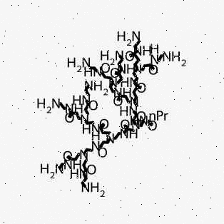 CCCC(=O)NCN(CC(=O)NCCN(CCC(=O)NCCN(CCC(=O)NCN)CCC(=O)NCCN)CCC(=O)NCCN(CCC(=O)NCCN)CCC(=O)NCCN)CC(=O)NCN(CCC(=O)NCCN(CCC(=O)NCCN)CCC(=O)NCCN)CCC(=O)NCCN(CCC(=O)NCCN)CCC(=O)NCCN